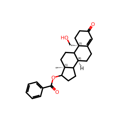 C[C@]12CCC3[C@@H](CCC4=CC(=O)CC[C@@]43CO)C1CCC2OC(=O)c1ccccc1